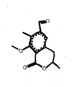 COc1c(C)c(C=O)cc2c1C(=O)OC(C)C2